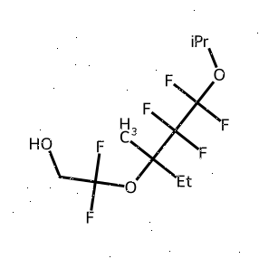 CCC(C)(OC(F)(F)CO)C(F)(F)C(F)(F)OC(C)C